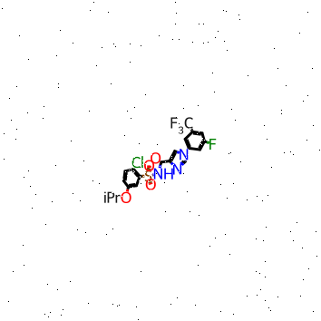 CC(C)Oc1ccc(Cl)c(S(=O)(=O)NC(=O)c2cn(-c3cc(F)cc(C(F)(F)F)c3)cn2)c1